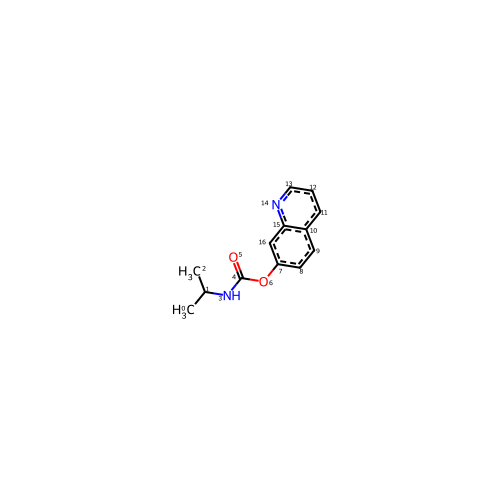 CC(C)NC(=O)Oc1ccc2cccnc2c1